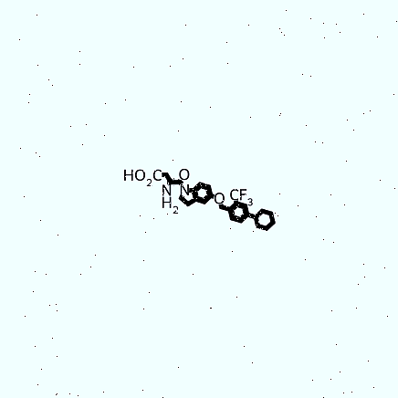 N[C@H](CC(=O)O)C(=O)N1CCc2cc(OCc3ccc(C4CCCCC4)cc3C(F)(F)F)ccc21